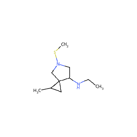 CCNC1CN(SC)CC12CC2C